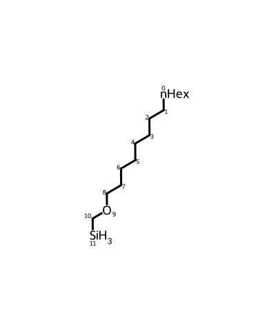 CCCCCCCCCCCCCCOC[SiH3]